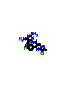 Cc1nn2cc([C@H](C)Nc3nc(N)nc(N)c3C#N)c(-c3ccc(F)cc3)nc2c1Cl